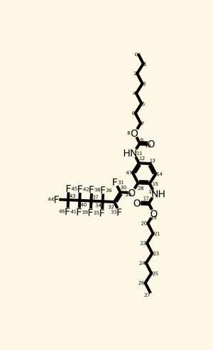 CCCCCCCCOC(=O)Nc1ccc(NC(=O)OCCCCCCCC)c(OC(F)=C(F)C(F)(F)C(F)(F)C(F)(F)C(F)(F)F)c1